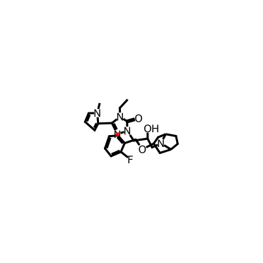 CCn1c(-c2cccn2C)nn(CC(O)CN2C3CCC2CC(OCc2ccccc2F)C3)c1=O